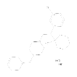 Cl.Cl.OC1(C(CN2CCN(CC3CC=CCC3)CC2)c2cccc(Cl)c2)CCCCC1